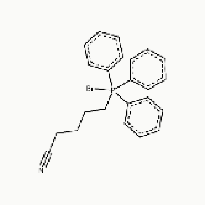 N#CCCCCP(Br)(c1ccccc1)(c1ccccc1)c1ccccc1